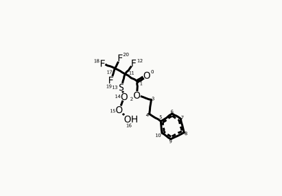 O=C(OCCc1ccccc1)C(F)(SOOO)C(F)(F)F